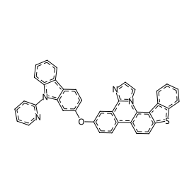 c1ccc(-n2c3ccccc3c3ccc(Oc4ccc5c(c4)c4nccn4c4c5ccc5sc6ccccc6c54)cc32)nc1